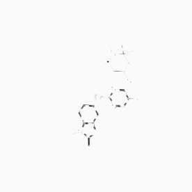 CCn1c(=O)oc2cc(Nc3ncc(F)c(NC4CC(C)(C)N(C)C(C)(C)C4)n3)ccc21